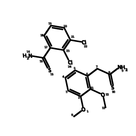 COc1cccc(CC(N)=S)c1OC.NC(=S)c1cccc(Cl)c1Cl